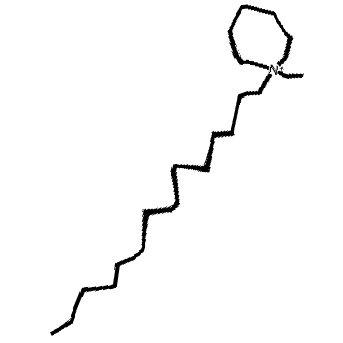 CCCCCCCCCCCCCC[N+]1(C)CCCCC1